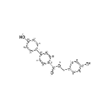 O=C(OCc1ccc(Cl)cc1)c1ccc(-c2ccc(O)cc2)cc1